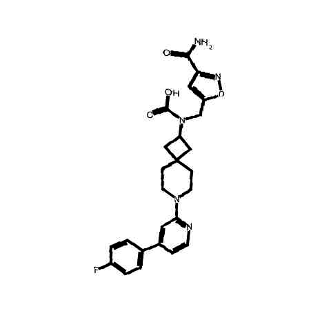 NC(=O)c1cc(CN(C(=O)O)C2CC3(CCN(c4cc(-c5ccc(F)cc5)ccn4)CC3)C2)on1